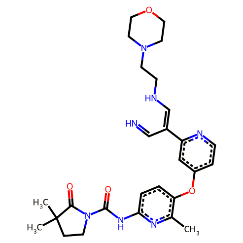 Cc1nc(NC(=O)N2CCC(C)(C)C2=O)ccc1Oc1ccnc(/C(C=N)=C/NCCN2CCOCC2)c1